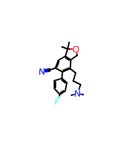 CN(C)CCCc1c2c(cc(C#N)c1-c1ccc(F)cc1)C(C)(C)OC2